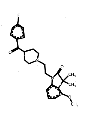 COc1cccc2c1C(C)(C)C(=O)N2CCN1CCC(C(=O)c2ccc(F)cc2)CC1